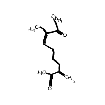 C=C(CCCC=C(C)C(=O)O)C(=O)O